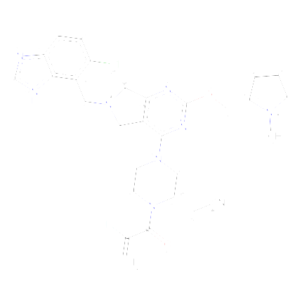 C=C(F)C(=O)N1CCN(c2nc(OC[C@@H]3CCCN3C)nc3c2CN(Cc2c(Cl)ccc4nc[nH]c24)C3)C[C@@H]1CC#N